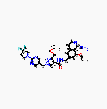 COCc1nn(Cc2cnc(N3CCC(F)(F)C3)nc2)cc1C(=O)NCc1cc(OC)c2c(N)nccc2c1